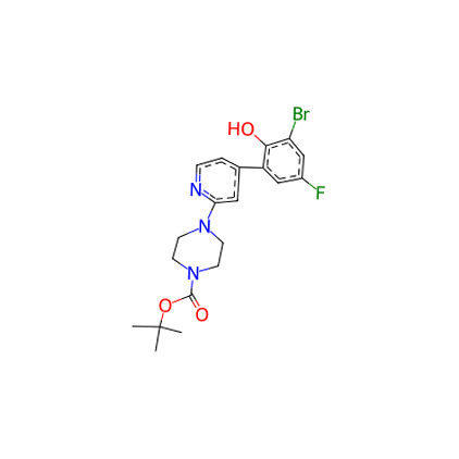 CC(C)(C)OC(=O)N1CCN(c2cc(-c3cc(F)cc(Br)c3O)ccn2)CC1